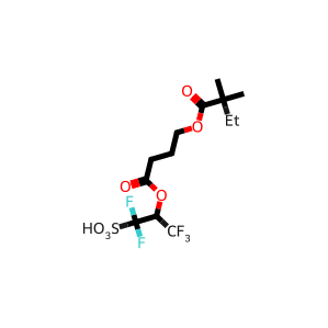 CCC(C)(C)C(=O)OCCCC(=O)OC(C(F)(F)F)C(F)(F)S(=O)(=O)O